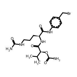 CC(C)[C@H](OC(N)=O)C(=O)N[C@@H](CCCNC(N)=O)C(=O)Nc1ccc(CBr)cc1